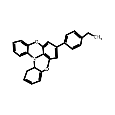 CCc1ccc(-c2cc3c4c(c2)Oc2ccccc2N4C2CC=CC=C2O3)cc1